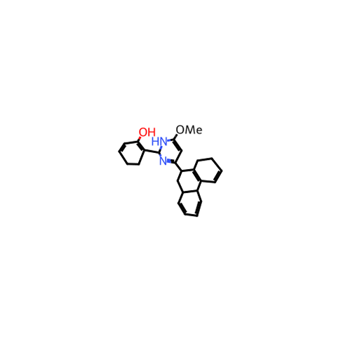 COC1=CC(C2CC3C=CC=CC3C3=C2CCC=C3)=NC(C2=C(O)C=CCC2)N1